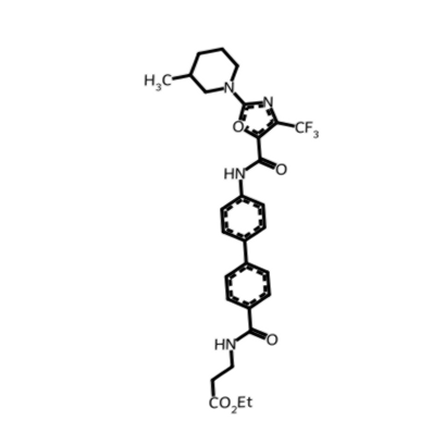 CCOC(=O)CCNC(=O)c1ccc(-c2ccc(NC(=O)c3oc(N4CCCC(C)C4)nc3C(F)(F)F)cc2)cc1